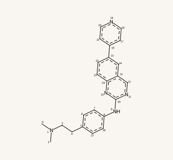 CN(C)CCc1ccc(Nc2ncc3cc(-c4ccncc4)ccc3n2)cc1